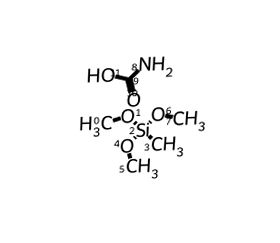 CO[Si](C)(OC)OC.NC(=O)O